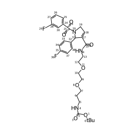 CC(C)(C)OC(=O)NCCCOCCOCCNC(=O)C1=CCN(S(=O)(=O)c2cccc(F)c2)C1c1ccc(F)cc1